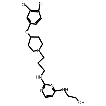 OCCNc1ccnc(NCCCN2CCC(Oc3ccc(Cl)c(Cl)c3)CC2)n1